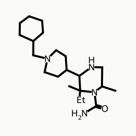 CCC1(C)C(C2CCN(CC3CCCCC3)CC2)NCC(C)N1C(N)=O